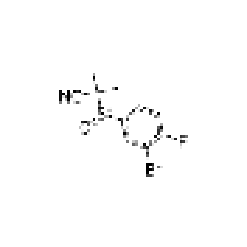 CC(C)(C#N)[S+]([O-])c1ccc(F)c(Br)c1